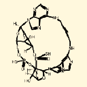 O=P1(S)OCC2O[C@@H]3[C@H](OP(=O)(S)OCC4O[C@H]([C@H](O1)[C@@H]4O)n1cnc4c(ncnc41)NC/C=C/CNc1ncnc4c1ncn43)[C@@H]2O